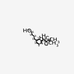 CC(C)(C)C(=O)Nc1cccc(CCCCO)c1